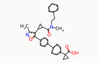 Cc1noc(-c2ccc(-c3ccc(C4(C(=O)O)CC4)cc3)cc2)c1C1CC1C(=O)N(C)CCc1ccccc1